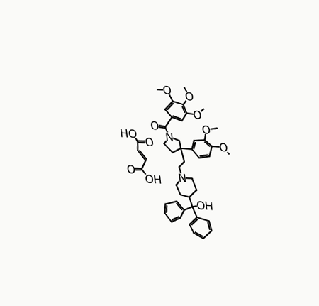 COc1ccc(C2(CCN3CCC(C(O)(c4ccccc4)c4ccccc4)CC3)CCN(C(=O)c3cc(OC)c(OC)c(OC)c3)C2)cc1OC.O=C(O)C=CC(=O)O